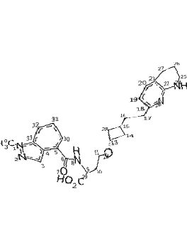 Cn1ncc2c(C(=O)NC(CCO[C@H]3C[C@H](CCc4ccc5c(n4)NCCC5)C3)C(=O)O)cccc21